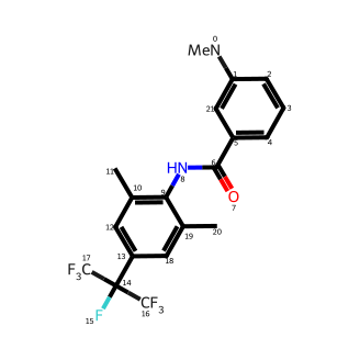 CNc1cccc(C(=O)Nc2c(C)cc(C(F)(C(F)(F)F)C(F)(F)F)cc2C)c1